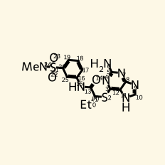 CC[C@@H](Sc1nc(N)nc2nc[nH]c12)C(=O)Nc1cccc(S(=O)(=O)NC)c1